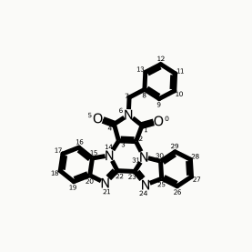 O=c1c2c(c(=O)n1Cc1ccccc1)n1c3ccccc3nc1c1nc3ccccc3n12